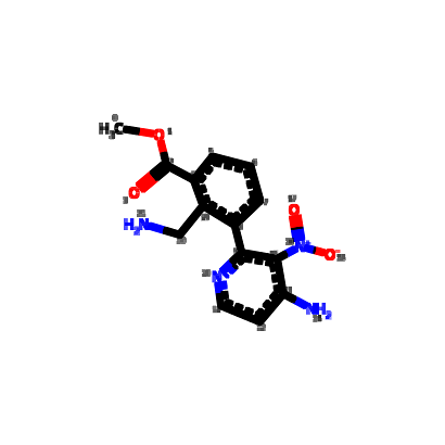 COC(=O)c1cccc(-c2nccc(N)c2[N+](=O)[O-])c1CN